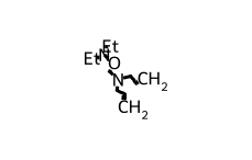 C=CCN(CC=C)CON(CC)CC